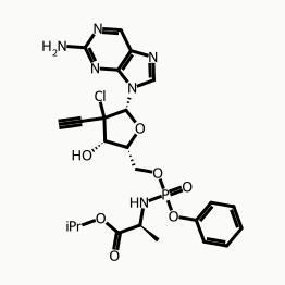 C#CC1(Cl)[C@@H](O)[C@@H](COP(=O)(N[C@@H](C)C(=O)OC(C)C)Oc2ccccc2)O[C@H]1n1cnc2cnc(N)nc21